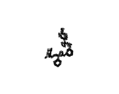 CNCCC(OCc1cccc(N(C)C(=O)c2cnc(SC)nc2)c1)c1ccccc1